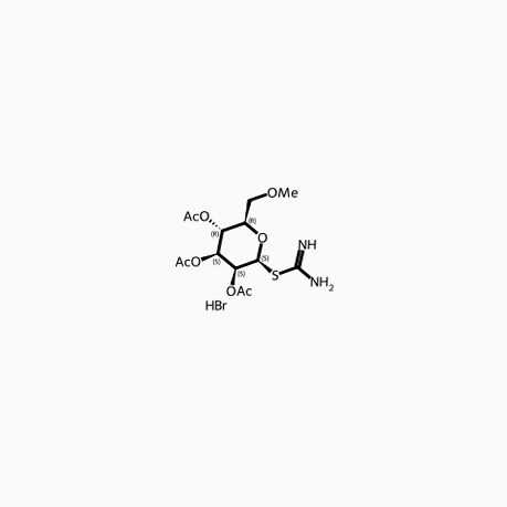 Br.COC[C@H]1O[C@@H](SC(=N)N)[C@@H](OC(C)=O)[C@@H](OC(C)=O)[C@@H]1OC(C)=O